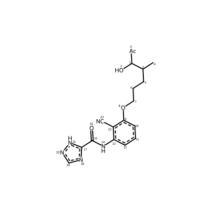 CC(=O)C(O)C(C)CCCOc1cccc(NC(=O)c2ncn[nH]2)c1C#N